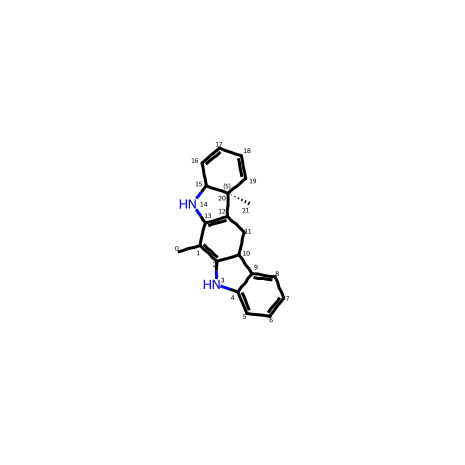 CC1=C2Nc3ccccc3C2CC2=C1NC1C=CC=C[C@@]21C